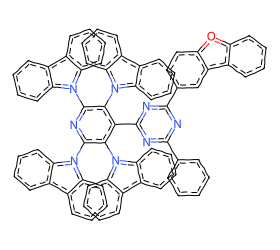 c1ccc(-c2nc(-c3ccc4oc5ccccc5c4c3)nc(-c3c(-n4c5ccccc5c5ccccc54)c(-n4c5ccccc5c5ccccc54)nc(-n4c5ccccc5c5ccccc54)c3-n3c4ccccc4c4ccccc43)n2)cc1